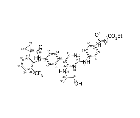 CCOC(=O)N=[SH](=O)c1ccc(Nc2ncc(-c3ccc(NC(=O)C4(c5cccc(C(F)(F)F)c5)CC4)cc3)c(NC(C)CO)n2)cc1